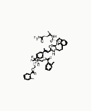 C/C(=C\C(=O)N[C@H]1CCc2cccc3c2N(C1=O)[C@H](C(=O)N[C@H](C)CCC(N)=O)C3)c1ccc(C(F)(F)P(=O)(OCOC(=O)c2ccccc2C)OCOC(=O)c2ccccc2C)cc1